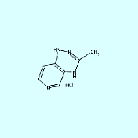 CC1=NNc2ccncc2N1.Cl